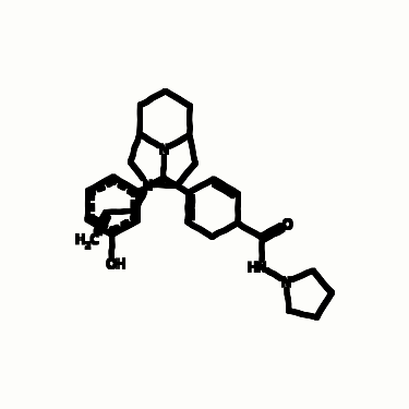 C=CCN1CCC2CCCC(C1)N2C(C1=CCC(C(=O)NN2CCCC2)C=C1)c1cccc(O)c1